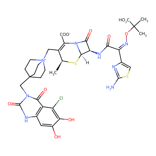 C[C@@H]1S[C@@H]2[C@H](NC(=O)/C(=N\OC(C)(C)C(=O)O)c3csc(N)n3)C(=O)N2C(C(=O)[O-])=C1C[N+]12CCC(Cn3c(=O)[nH]c4cc(O)c(O)c(Cl)c4c3=O)(CC1)CC2